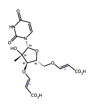 C[C@]1(O)[C@H](O/C=C/C(=O)O)[C@@H](CO/C=C/C(=O)O)O[C@H]1n1ccc(=O)[nH]c1=O